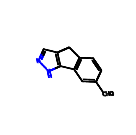 O=Cc1ccc2c(c1)-c1[nH]ncc1C2